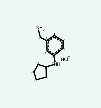 Cl.NCc1cccc(NC2CCCC2)c1